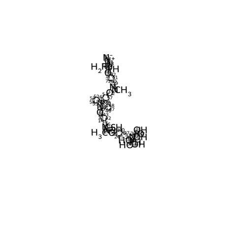 CN(COc1ccc(P(=NCOc2ccc(C=NN(C)P(S)Oc3ccc(CCN(CP(=O)(O)O)C[PH](O)(O)O)cc3)cc2)(c2ccccc2)c2ccccc2)cc1)N=Cc1ccc(OPP(P)N=[N+]=[N-])cc1